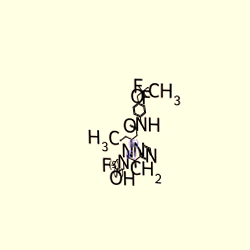 C=C(/C(=N\C=C(/CCC)CC(=O)Nc1ccc(OC(F)(F)CC)cc1)N1C[C@@H](O)[C@@H](F)C1)c1cnccn1